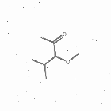 COC(C(C)=O)C(C)C